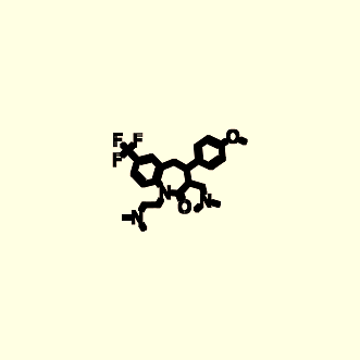 COc1ccc(C2Cc3cc(C(F)(F)F)ccc3N(CCN(C)C)C(=O)C2CN(C)C)cc1